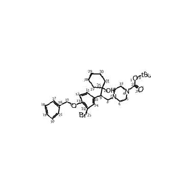 CC(C)(C)OC(=O)N1CCN(CC(c2ccc(OCc3ccccc3)c(Br)c2)C2(O)CCCCC2)CC1